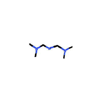 CN(C)C[N]CN(C)C